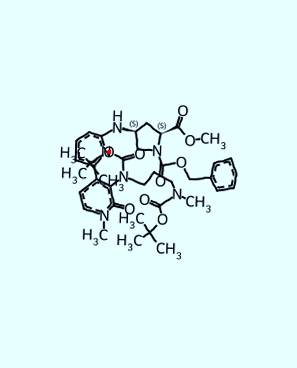 COC(=O)[C@@H]1C[C@H](Nc2cccc(-c3ccn(C)c(=O)c3N(CCCN(C)C(=O)OC(C)(C)C)C(=O)OC(C)(C)C)n2)CN1C(=O)OCc1ccccc1